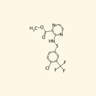 COC(=O)c1nccnc1NSc1ccc(Cl)c(C(F)(F)F)c1